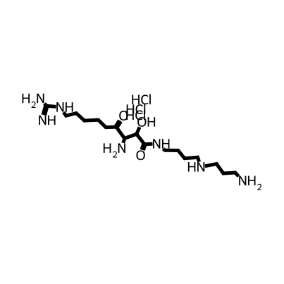 Cl.Cl.Cl.N=C(N)NCCCCCC(=O)C(N)C(O)C(=O)NCCCCNCCCN